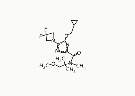 COCC(C)(C)N(C)C(=O)c1cnc(N2CC(F)(F)C2)c(OCC2CC2)n1